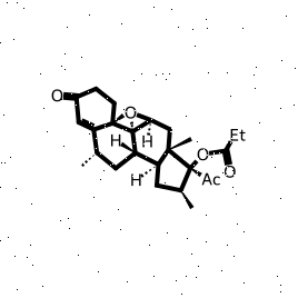 CCC(=O)O[C@]1(C(C)=O)[C@@H](C)C[C@H]2[C@@H]3C[C@H](C)C4=CC(=O)CC[C@]4(C)[C@]34O[C@H]4C[C@@]21C